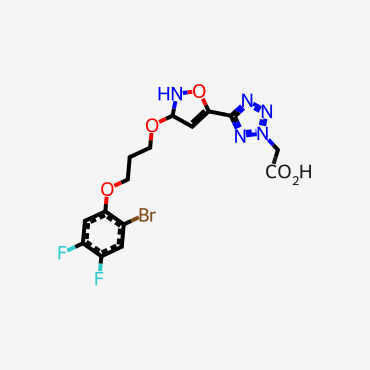 O=C(O)Cn1nnc(C2=CC(OCCCOc3cc(F)c(F)cc3Br)NO2)n1